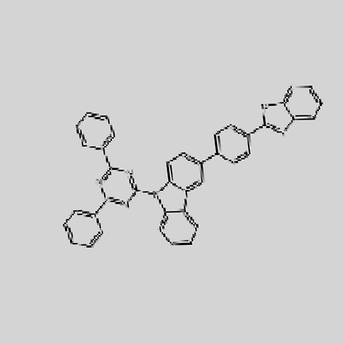 c1ccc(-c2nc(-c3ccccc3)nc(-n3c4ccccc4c4cc(-c5ccc(-c6nc7ccccc7o6)cc5)ccc43)n2)cc1